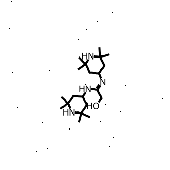 CC1(C)CC(N=C(CO)NC2CC(C)(C)NC(C)(C)C2)CC(C)(C)N1